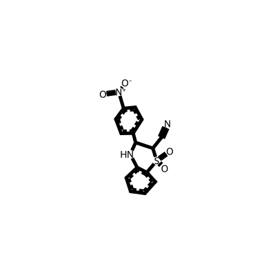 N#CC1C(c2ccc([N+](=O)[O-])cc2)Nc2ccccc2S1(=O)=O